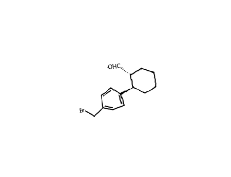 O=[C][C@@H]1CCCC[C@H]1c1ccc(CBr)cc1